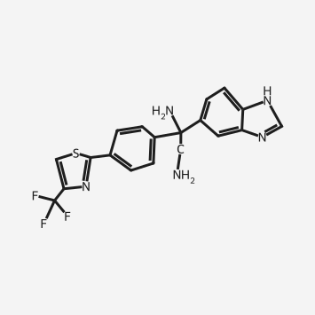 NCC(N)(c1ccc(-c2nc(C(F)(F)F)cs2)cc1)c1ccc2[nH]cnc2c1